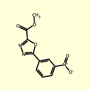 COC(=O)c1nnc(-c2cccc([N+](=O)[O-])c2)o1